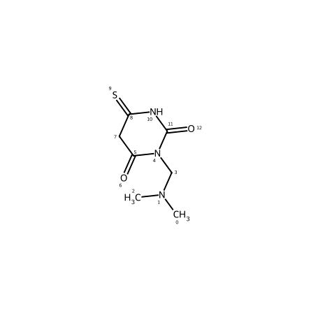 CN(C)CN1C(=O)CC(=S)NC1=O